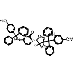 COc1ccc(C(Nc2ccn([C@@H]3O[C@H](CO)[C@](O)(C(c4ccccc4)(c4ccccc4)c4ccc(OC)cc4)C3(F)F)c(=O)n2)(c2ccccc2)c2ccccc2)cc1